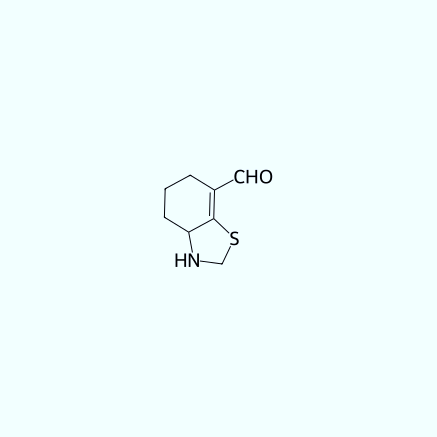 O=CC1=C2SCNC2CCC1